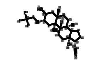 C[C@]12C[C@H](OCC(F)(F)F)[C@@H](O)C[C@@H]1CC[C@H]1C3CC[C@H](C#N)[C@@]3(C)CC[C@@H]12